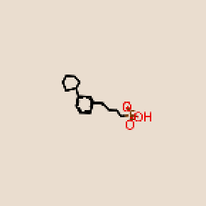 O=S(=O)(O)CCCCc1cccc(C2CCCCC2)c1